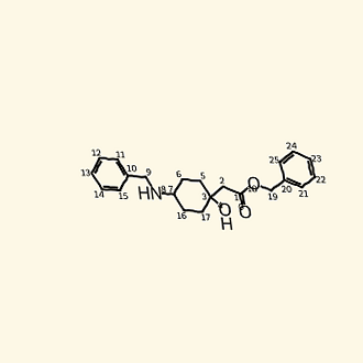 O=C(CC1(O)CCC(NCc2ccccc2)CC1)OCc1ccccc1